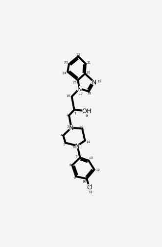 OC(CN1CCN(c2ccc(Cl)cc2)CC1)Cn1cnc2ccccc21